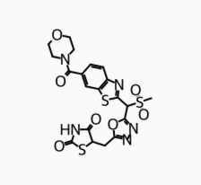 CS(=O)(=O)C(c1nnc(CC2SC(=O)NC2=O)o1)c1nc2ccc(C(=O)N3CCOCC3)cc2s1